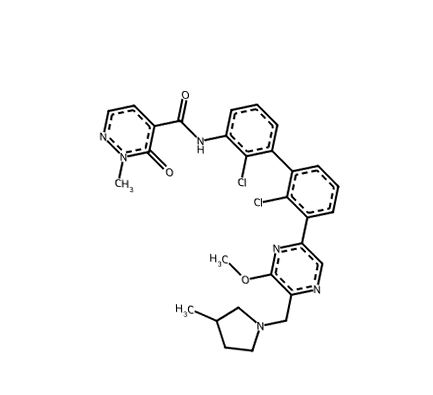 COc1nc(-c2cccc(-c3cccc(NC(=O)c4ccnn(C)c4=O)c3Cl)c2Cl)cnc1CN1CCC(C)C1